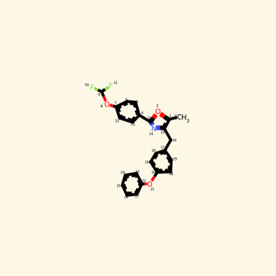 Cc1oc(-c2ccc(OC(F)F)cc2)nc1Cc1ccc(Oc2ccccc2)cc1